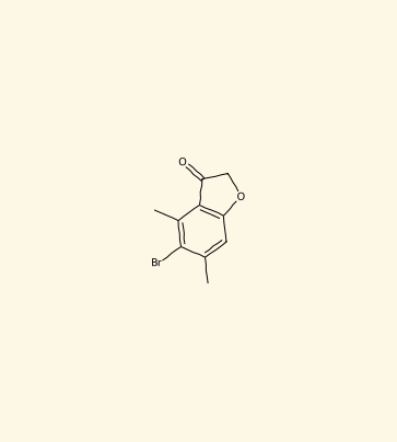 Cc1cc2c(c(C)c1Br)C(=O)CO2